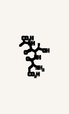 C[C@H](NC(=O)[C@@H](NC(=O)[C@@H](N)CC(=O)O)[C@@H](C)O)C(=O)O